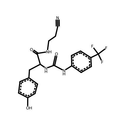 N#CCCNC(=O)C(Cc1ccc(O)cc1)NC(=O)Nc1ccc(C(F)(F)F)cc1